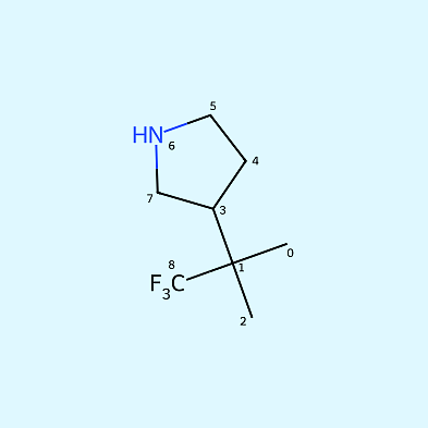 CC(C)(C1CCNC1)C(F)(F)F